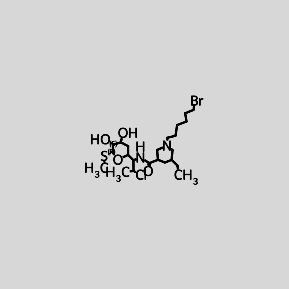 CCC1CC(C(=O)NC(C(C)Cl)C2CC(O)[C@H](O)[C@@H](SC)O2)CN(CCCCCCBr)C1